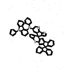 c1ccc(N(c2cnc3c(c2)C2(c4ccccc4Sc4cc5c(cc42)-c2ccccc2C52c4ccccc4-c4ccccc42)c2cccnc2-3)c2cccc3c2c2ccccc2n3-c2ccccc2)cc1